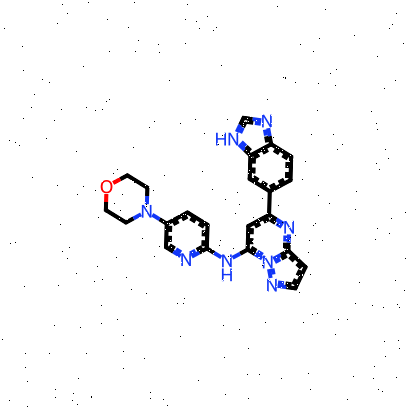 c1cc2nc(-c3ccc4nc[nH]c4c3)cc(Nc3ccc(N4CCOCC4)cn3)n2n1